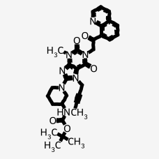 CC#CCn1c(N2CCCC(NC(=O)OC(C)(C)C)C2)nc2c1c(=O)n(CC(=O)c1cccc3cccnc13)c(=O)n2C